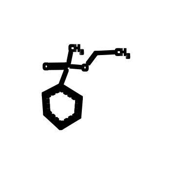 CCOP(C)(=O)c1ccccc1